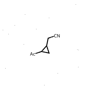 CC(=O)C1CC1CC#N